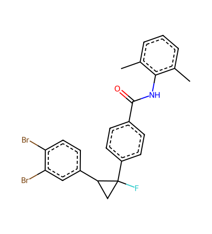 Cc1cccc(C)c1NC(=O)c1ccc(C2(F)CC2c2ccc(Br)c(Br)c2)cc1